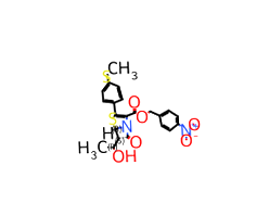 CSc1ccc(C2=C(C(=O)OCc3ccc([N+](=O)[O-])cc3)N3C(=O)[C@H]([C@@H](C)O)[C@H]3S2)cc1